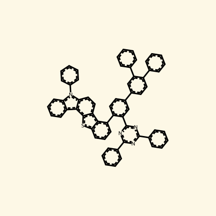 c1ccc(-c2nc(-c3ccccc3)nc(-c3cc(-c4ccc(-c5ccccc5)c(-c5ccccc5)c4)ccc3-c3cccc4sc5c(ccc6c5c5ccccc5n6-c5ccccc5)c34)n2)cc1